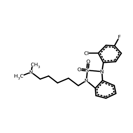 CN(C)CCCCCN1c2ccccc2N(c2ccc(F)cc2Cl)S1(=O)=O